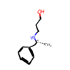 C[C@@H](NCCCO)c1ccccc1